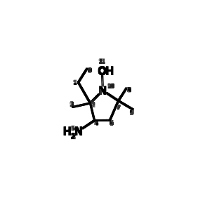 CCC1(C)C(N)CC(C)(C)N1O